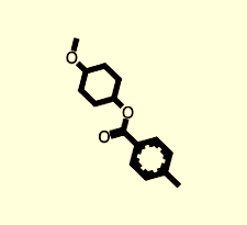 COC1CCC(OC(=O)c2ccc(C)cc2)CC1